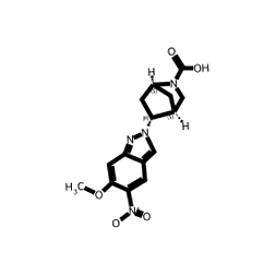 COc1cc2nn([C@@H]3C[C@@H]4C[C@H]3CN4C(=O)O)cc2cc1[N+](=O)[O-]